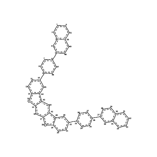 c1ccc2cc(-c3ccc(-c4ccc5oc6cc7oc8ccc(-c9ccc(-c%10ccc%11ccccc%11c%10)cc9)cc8c7cc6c5c4)cc3)ccc2c1